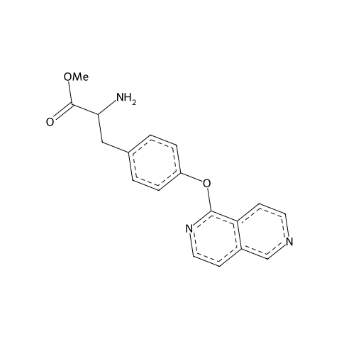 COC(=O)C(N)Cc1ccc(Oc2nccc3cnccc23)cc1